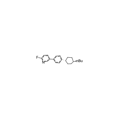 CCCC[C@H]1CC[C@H](c2ccc(-c3ccc(F)nc3)cc2)CC1